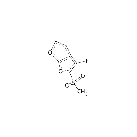 CS(=O)(=O)c1oc2occc2c1F